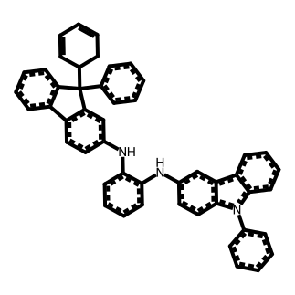 C1=CCC(C2(c3ccccc3)c3ccccc3-c3ccc(Nc4ccccc4Nc4ccc5c(c4)c4ccccc4n5-c4ccccc4)cc32)C=C1